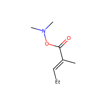 CC/C=C(\C)C(=O)ON(C)C